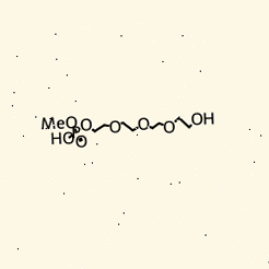 COP(=O)(O)OCCOCCOCCOCCO